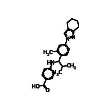 Cc1cc(-n2cc3c(n2)CCCC3)ccc1C(Nc1ccc(C(=O)O)cc1)C(C)C